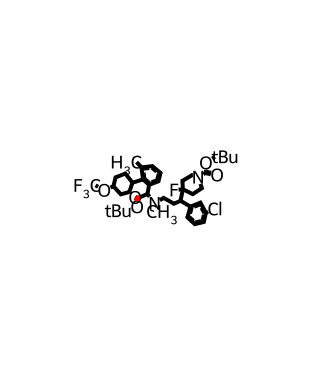 Cc1cccc(C(C(=O)OC(C)(C)C)N(C)CCC(c2cccc(Cl)c2)C2(F)CCN(C(=O)OC(C)(C)C)CC2)c1C1CCC(OC(F)(F)F)CC1